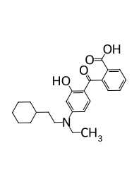 CCN(CCC1CCCCC1)c1ccc(C(=O)c2ccccc2C(=O)O)c(O)c1